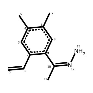 C=Cc1cc(C)c(C)cc1/C(C)=N\N